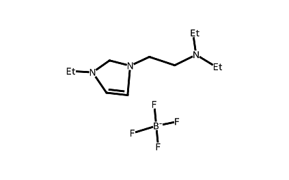 CCN1C=CN(CCN(CC)CC)C1.F[B-](F)(F)F